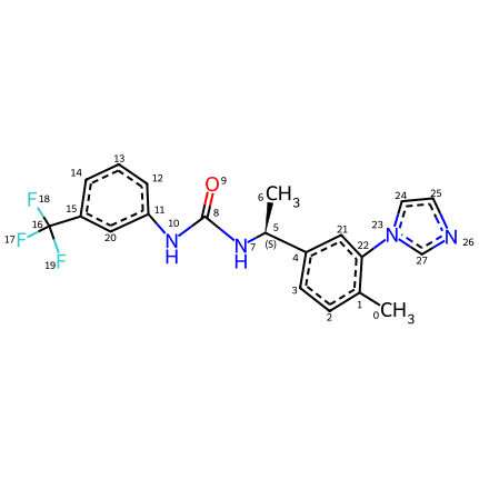 Cc1ccc([C@H](C)NC(=O)Nc2cccc(C(F)(F)F)c2)cc1-n1ccnc1